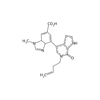 C=CCCn1cc(C2=CC(C(=O)O)=CC3C2N=CN3C)c2cc[nH]c2c1=O